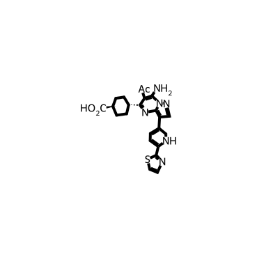 CC(=O)c1c(N)n2ncc(C3=CC=C(c4nccs4)NC3)c2nc1[C@H]1CC[C@H](C(=O)O)CC1